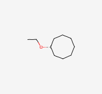 CCOC1CCCCCCC1